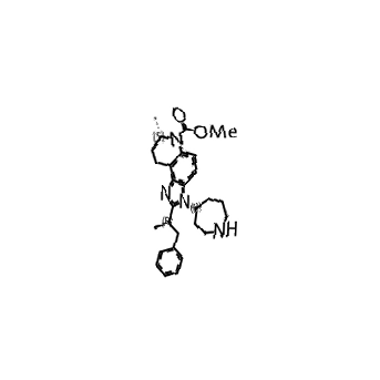 COC(=O)N1c2ccc3c(nc([C@H](C)Cc4ccccc4)n3[C@@H]3CCCNCC3)c2CC[C@@H]1C